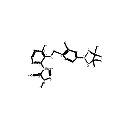 Cc1cc(B2OC(C)(C)C(C)(C)O2)ccc1COc1c(C)cccc1-n1nnn(C)c1=O